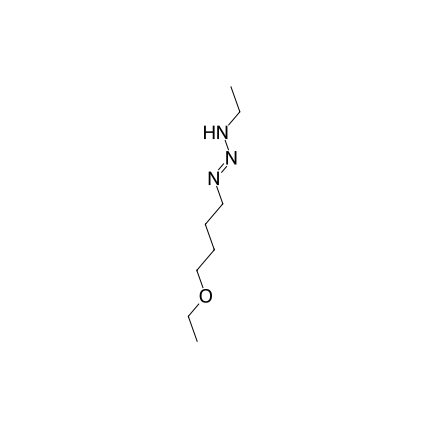 CCNN=NCCCCOCC